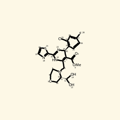 COC(=O)C1=C(CN2CCOC[C@H]2C(O)O)NC(c2nccs2)=N[C@H]1c1ccc(F)cc1Cl